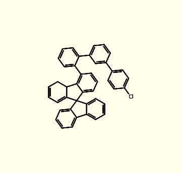 Clc1ccc(-c2cccc(-c3ccccc3-c3cccc4c3C3CC=CC=C3C43c4ccccc4-c4ccccc43)c2)cc1